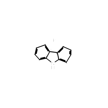 [Pt].c1ccc2c(c1)[nH]c1ccccc12